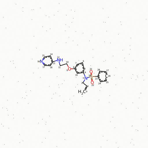 C=CCN(c1cccc(OCCNc2ccncc2)c1)S(=O)(=O)c1ccccc1